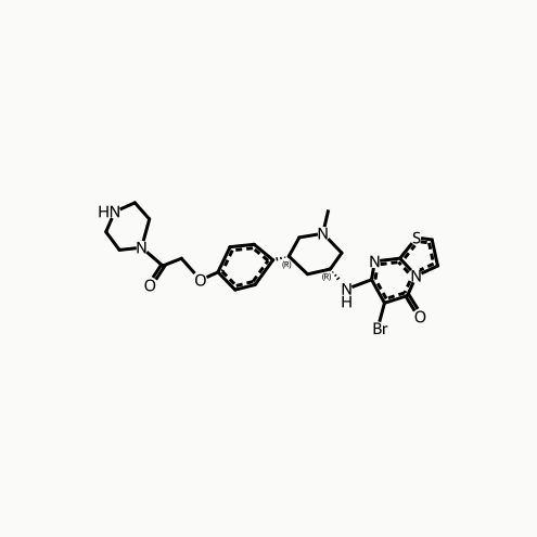 CN1C[C@H](Nc2nc3sccn3c(=O)c2Br)C[C@H](c2ccc(OCC(=O)N3CCNCC3)cc2)C1